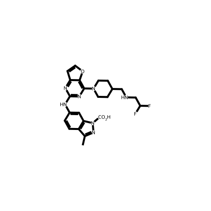 Cc1nn(C(=O)O)c2cc(Nc3nc(N4CCC(CNCC(F)F)CC4)c4occc4n3)ccc12